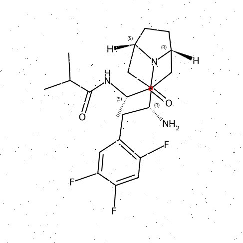 CC(C)C(=O)N[C@@H](C)C(=O)N1[C@@H]2CC[C@H]1CC([C@H](N)Cc1cc(F)c(F)cc1F)C2